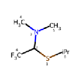 CC(C)SC(N(C)C)C(F)(F)F